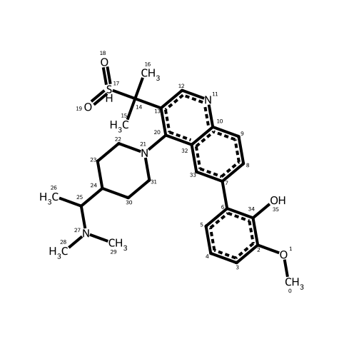 COc1cccc(-c2ccc3ncc(C(C)(C)[SH](=O)=O)c(N4CCC(C(C)N(C)C)CC4)c3c2)c1O